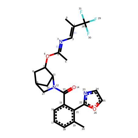 C/C(=C\N=C(/C)OC1CC2CC1N(C(=O)c1cccc(C)c1-c1ncco1)C2)C(F)(F)F